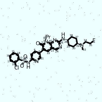 CC(C)n1c(=O)c(-c2ccc(NS(=O)(=O)c3ccccc3Cl)nc2)cc2cnc(N[C@H]3CC[C@H](N(C)CCF)CC3)nc21